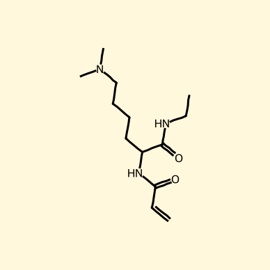 C=CC(=O)NC(CCCCN(C)C)C(=O)NCC